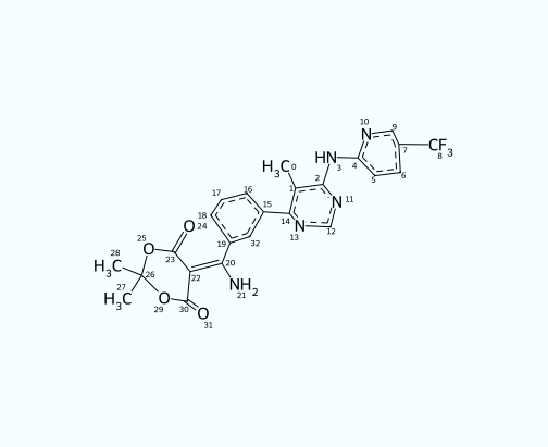 Cc1c(Nc2ccc(C(F)(F)F)cn2)ncnc1-c1cccc(C(N)=C2C(=O)OC(C)(C)OC2=O)c1